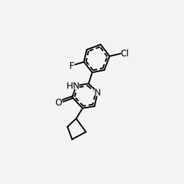 O=c1[nH]c(-c2cc(Cl)ccc2F)ncc1C1CCC1